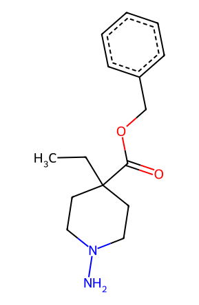 CCC1(C(=O)OCc2ccccc2)CCN(N)CC1